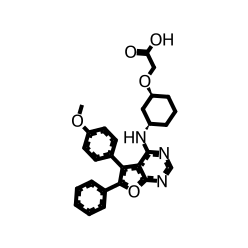 COc1ccc(-c2c(-c3ccccc3)oc3ncnc(N[C@H]4CCC[C@H](OCC(=O)O)C4)c23)cc1